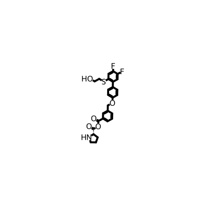 O=C(OC(=O)[C@@H]1CCCN1)c1cccc(COc2ccc(-c3cc(F)c(F)cc3SCCO)cc2)c1